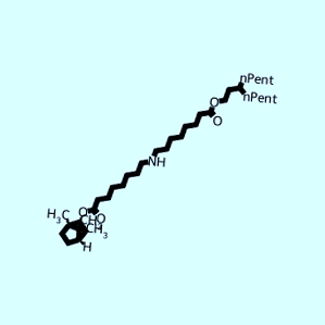 CCCCCC(CCCCC)CCOC(=O)CCCCCCCNCCCCCCCC(=O)O[C@@H]1C[C@@H]2CC[C@@]1(C)C2(C)C